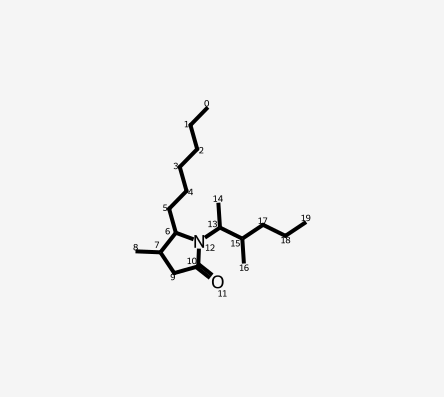 CCCCCCC1C(C)CC(=O)N1C(C)C(C)CCC